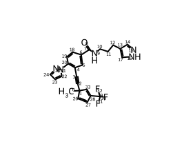 CC1(C#Cc2cc(C(=O)NCCCc3cn[nH]c3)ccc2-n2cccn2)C=CC(C(F)(F)F)=C1